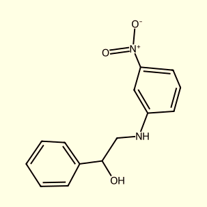 O=[N+]([O-])c1cccc(NCC(O)c2ccccc2)c1